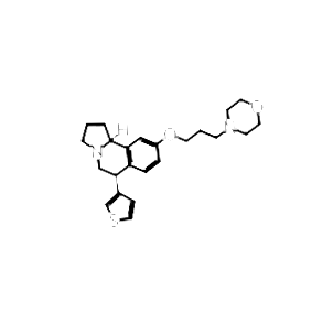 c1cc([C@H]2CN3CCC[C@@H]3c3cc(OCCCN4CCOCC4)ccc32)cs1